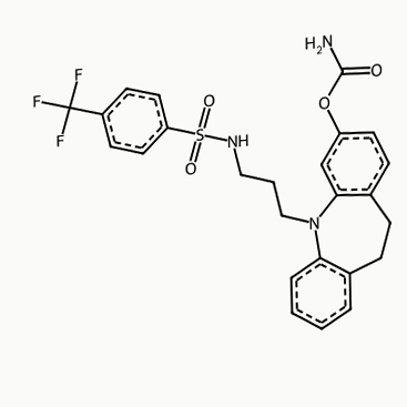 NC(=O)Oc1ccc2c(c1)N(CCCNS(=O)(=O)c1ccc(C(F)(F)F)cc1)c1ccccc1CC2